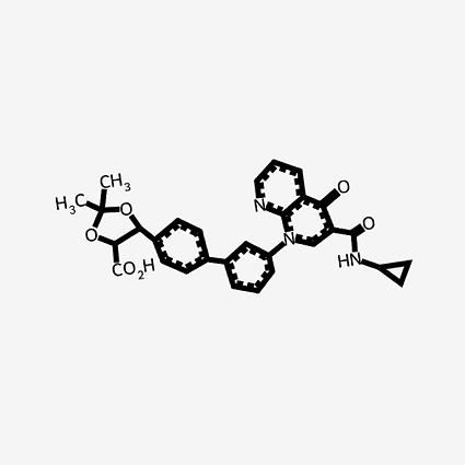 CC1(C)OC(C(=O)O)C(c2ccc(-c3cccc(-n4cc(C(=O)NC5CC5)c(=O)c5cccnc54)c3)cc2)O1